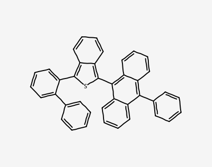 c1ccc(-c2ccccc2-c2sc(-c3c4ccccc4c(-c4ccccc4)c4ccccc34)c3ccccc23)cc1